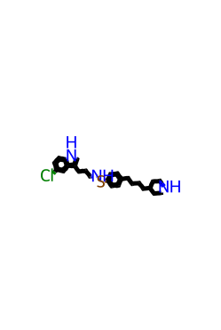 Clc1ccc2[nH]cc(CCCNSc3ccc(CCCCC4CCNCC4)cc3)c2c1